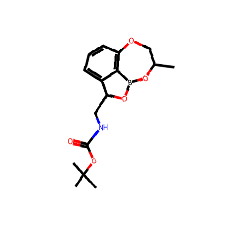 CC1COc2cccc3c2B(O1)OC3CNC(=O)OC(C)(C)C